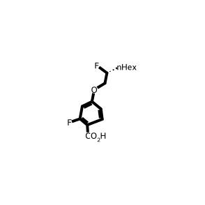 CCCCCC[C@@H](F)COc1ccc(C(=O)O)c(F)c1